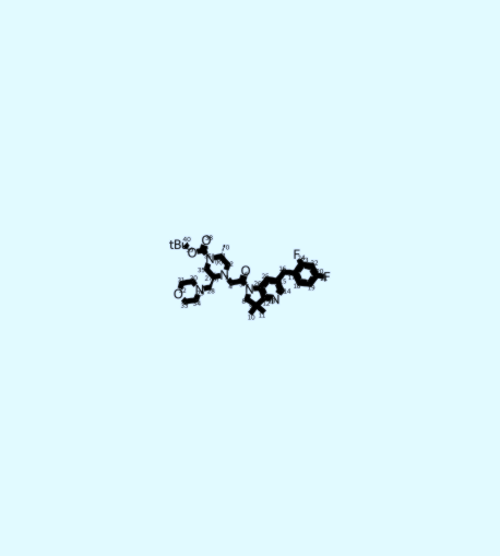 C[C@@H]1CN(CC(=O)N2CC(C)(C)c3ncc(Cc4ccc(F)cc4F)cc32)[C@@H](CN2CCOCC2)CN1C(=O)OC(C)(C)C